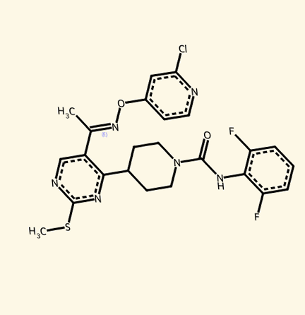 CSc1ncc(/C(C)=N/Oc2ccnc(Cl)c2)c(C2CCN(C(=O)Nc3c(F)cccc3F)CC2)n1